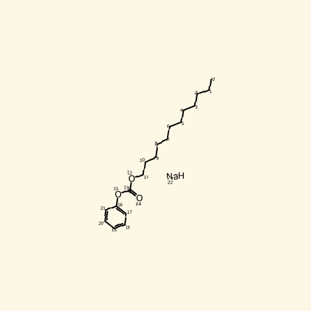 CCCCCCCCCCCCOC(=O)Oc1ccccc1.[NaH]